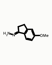 COc1ccc2c(c1)CC/C2=N\N